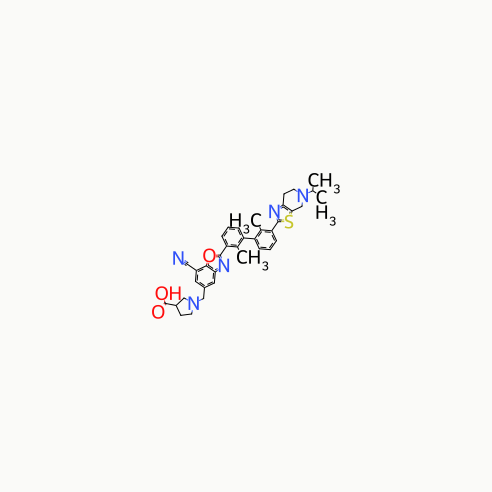 Cc1c(-c2nc3cc(CN4CCC(C(=O)O)C4)cc(C#N)c3o2)cccc1-c1cccc(-c2nc3c(s2)CN(C(C)C)CC3)c1C